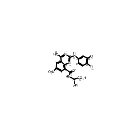 CC(C)[C@@H](NC(=O)c1cc([N+](=O)[O-])cc2c(O)nc(Nc3ccc(Cl)c(Cl)c3)nc12)C(=O)O